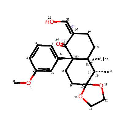 COc1cccc([C@]23CCC4(OCCO4)[C@@H](C)[C@@H]2CC/C(=C/O)C3=O)c1